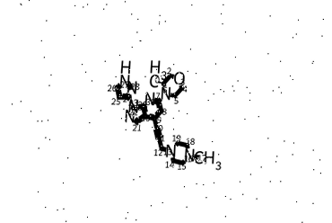 C[C@@H]1COCCN1c1cc(C#CCN2CCN(C)CC2)c2cnn(-c3cc[nH]n3)c2n1